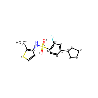 O=C(O)c1sccc1NS(=O)(=O)c1ccc(C2CCCC2)cc1F